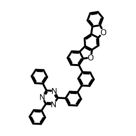 c1ccc(-c2nc(-c3ccccc3)nc(-c3cccc(-c4cccc(-c5cccc6c5oc5cc7oc8ccccc8c7cc56)c4)c3)n2)cc1